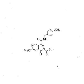 CCC(CC)n1cc(C(=O)NCc2ccc(C)cc2)c2cnc(OC)cc2c1=O